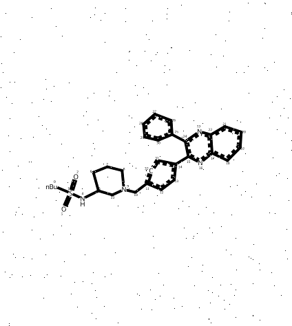 CCCCS(=O)(=O)NC1CCCN(Cc2ccc(-c3nc4ccccc4nc3-c3ccccc3)cc2)C1